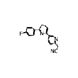 N#CCc1ccc(C2=CCCC(c3ccc(F)cc3)=N2)cn1